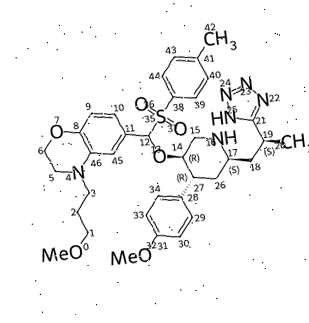 COCCCN1CCOc2ccc(C(O[C@H]3CN[C@@H](C[C@H](C)c4nnn[nH]4)C[C@@H]3c3ccc(OC)cc3)S(=O)(=O)c3ccc(C)cc3)cc21